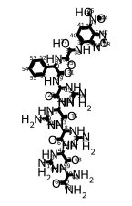 N=C(N)NC(NC(=O)C(NC(=N)N)NC(=O)C(NC(=N)N)NC(=O)C(NC(=N)N)NC(=O)C(NC(=O)C(O)Nc1ccc([N+](=O)O)c2nonc12)c1ccccc1)C(=O)NC(N)C(N)=O